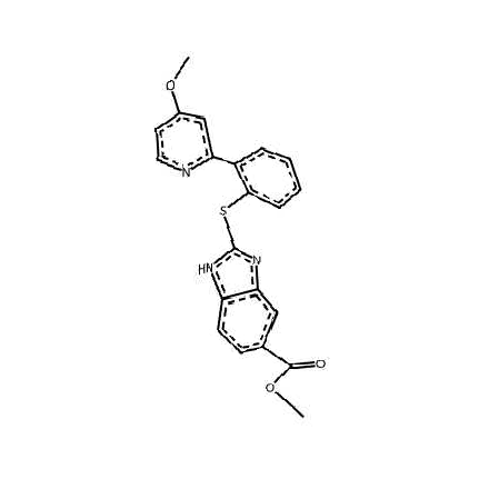 COC(=O)c1ccc2[nH]c(Sc3ccccc3-c3cc(OC)ccn3)nc2c1